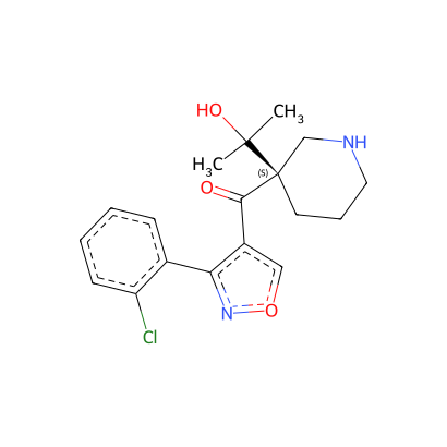 CC(C)(O)[C@]1(C(=O)c2conc2-c2ccccc2Cl)CCCNC1